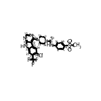 CS(=O)(=O)c1ccc(NC(=S)N2CCN(c3ncnc4[nH]c5cc(C(F)(F)F)c(Cl)cc5c34)CC2)cc1